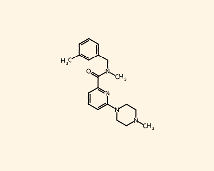 Cc1cccc(CN(C)C(=O)c2cccc(N3CCN(C)CC3)n2)c1